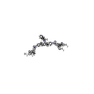 C=CC(=O)OCC(COC(=O)/C=C/c1ccc(C(=O)Oc2ccc(OC(=O)c3ccc(/C=C/C(=O)OCC(COC(=O)C=C)OC(=O)C=C)cc3)c(/C=N/Nc3nc4ccccc4s3)c2)cc1)OC(=O)C=C